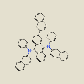 C1=CC(N(c2ccc3ccccc3c2)c2c3c(c(N(c4ccccc4)c4ccc5ccccc5c4)c4ccccc24)=CCC(c2ccc4ccccc4c2)C=3)=CCC1